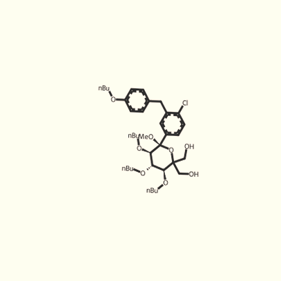 CCCCOc1ccc(Cc2cc([C@]3(OC)OC(CO)(CO)[C@@H](OCCCC)[C@H](OCCCC)[C@H]3OCCCC)ccc2Cl)cc1